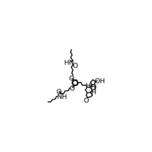 CCCCCNC(=O)CCCCOc1cc(CCCC2CC3CC(=O)CC[C@]3(C)[C@@H]3CC[C@]4(C)C(O)CC[C@H]4[C@H]23)cc(OCCCCC(=O)NCCCCC)c1